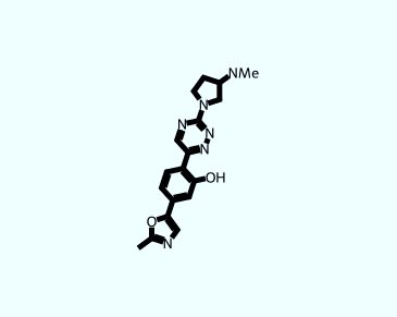 CNC1CCN(c2ncc(-c3ccc(-c4cnc(C)o4)cc3O)nn2)C1